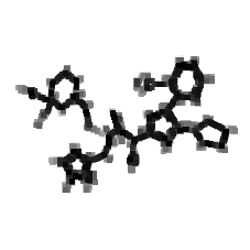 O=C(N[C@@H](CCN1CCCC(F)(F)C1)Cc1nnn[nH]1)c1cc(-c2ccccc2C(F)(F)F)n(C2CCCC2)n1